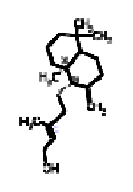 C=C1CCC2C(C)(C)CCC[C@]2(C)[C@H]1CC/C(C)=C/CO